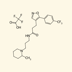 CC1CCCCN1CCCNC(=O)CCc1cnoc1-c1ccc(C(F)(F)F)cc1.O=C(O)C(F)(F)F